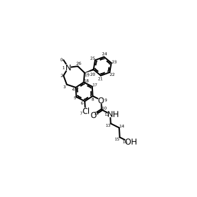 CN1CCc2cc(Cl)c(OC(=O)NCCCO)cc2[C@H](c2ccccc2)C1